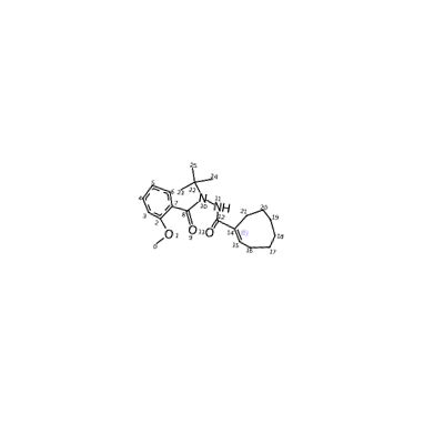 COc1ccccc1C(=O)N(NC(=O)/C1=C/CCCCCC1)C(C)(C)C